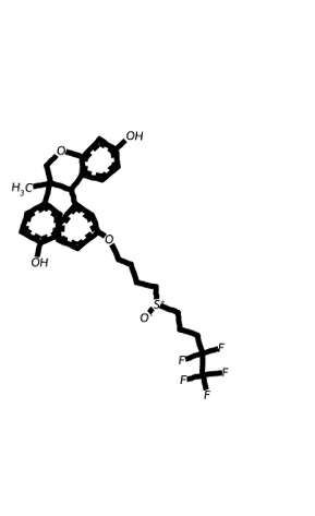 CC1(c2ccc(O)cc2)COc2cc(O)ccc2C1c1cccc(OCCCC[S+]([O-])CCCC(F)(F)C(F)(F)F)c1